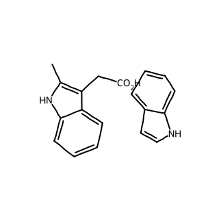 Cc1[nH]c2ccccc2c1CC(=O)O.c1ccc2[nH]ccc2c1